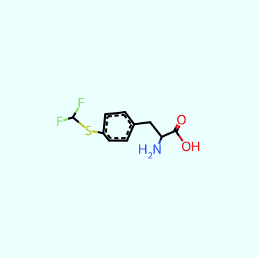 NC(Cc1ccc(SC(F)F)cc1)C(=O)O